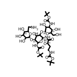 CC(C)(C)OC(=O)NCC[C@H](O)C(=O)N[C@@H]1OC(NC(=O)OC(C)(C)C)[C@@H](O[C@H]2OC(CN)[C@@H](O)C(O)C2O)C(O)C1O[C@H]1OC(CO)[C@@H](O)C(NC(=O)OC(C)(C)C)C1O